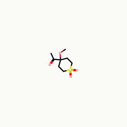 COC1(C(C)=O)CCS(=O)(=O)CC1